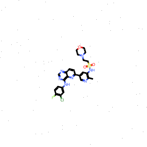 Cc1ncc(-c2ccc3ncnc(Nc4ccc(F)c(Cl)c4)c3n2)cc1NS(=O)(=O)CCN1CCOCC1